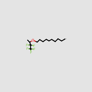 [CH2]CCCCCCCCCOC(C)C(F)(F)C(F)(F)F